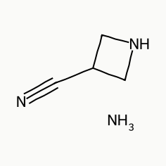 N.N#CC1CNC1